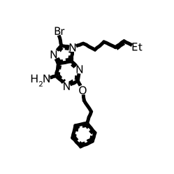 CC/C=C/CCCn1c(Br)nc2c(N)nc(OCCc3ccccc3)nc21